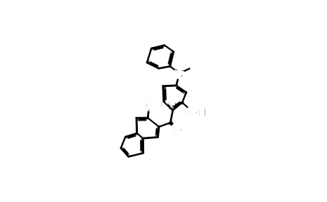 CN(c1ccccc1)c1ccc(C(=O)c2cc3ccccc3cc2C(=O)O)c(O)c1